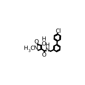 CN1CC(C(=O)NCc2cccc(-c3ccc(Cl)cc3)c2)=C(O)C1=O